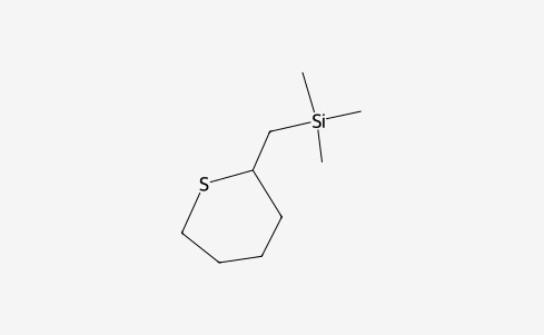 C[Si](C)(C)CC1CCCCS1